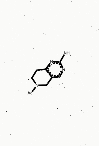 CC(=O)N1CCc2nc(N)ncc2C1